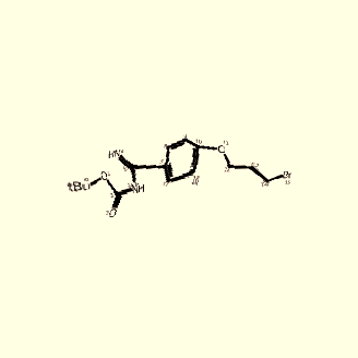 CC(C)(C)OC(=O)NC(=N)c1ccc(OCCCBr)cc1